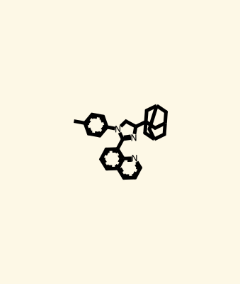 Cc1ccc(N2CC(C34CC5CC(CC(C5)C3)C4)N=C2c2cccc3cccnc23)cc1